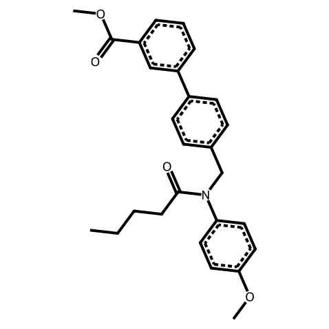 CCCCC(=O)N(Cc1ccc(-c2cccc(C(=O)OC)c2)cc1)c1ccc(OC)cc1